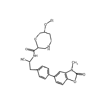 CCOC1CCNCC(C(=O)NC(C#N)Cc2ccc(-c3ccc4oc(=O)n(C)c4c3)cc2)OC1